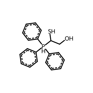 OCC(S)[PH](c1ccccc1)(c1ccccc1)c1ccccc1